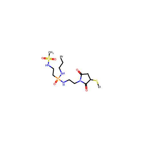 CCSC1CC(=O)N(CCNP(=O)(CCNS(C)(=O)=O)NCCC(C)C)C1=O